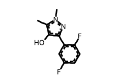 Cc1c(O)c(-c2cc(F)ccc2F)nn1C